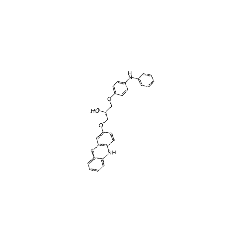 OC(COc1ccc(Nc2ccccc2)cc1)COc1ccc2c(c1)Sc1ccccc1N2